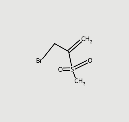 C=C(CBr)S(C)(=O)=O